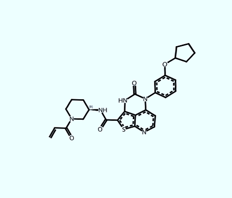 C=CC(=O)N1CCC[C@@H](NC(=O)c2sc3nccc4c3c2NC(=O)N4c2cccc(OC3CCCC3)c2)C1